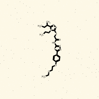 CCCn1c(SCC(=O)Nc2nnc(-c3ccc(OCCOCC)cc3)s2)nnc1C(C)CC